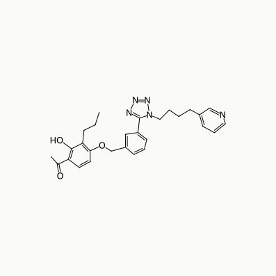 CCCc1c(OCc2cccc(-c3nnnn3CCCCc3cccnc3)c2)ccc(C(C)=O)c1O